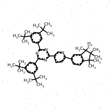 CC(C)(C)c1cc(-c2nc(-c3ccc(-c4ccc5c(c4)C(C)(C)C(C)(C)C5(C)C)nc3)nc(-c3cc(C(C)(C)C)cc(C(C)(C)C)c3)n2)cc(C(C)(C)C)c1